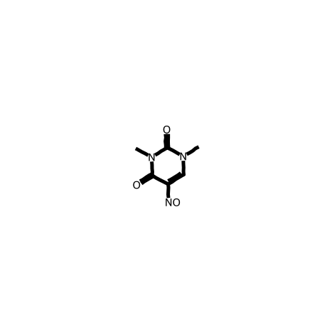 Cn1cc(N=O)c(=O)n(C)c1=O